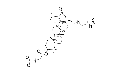 CC(C)C1=C2[C@H]3CCC4[C@@]5(C)CC[C@H](OC(=O)CC(C)(C)C(=O)O)C(C)(C)C5CC[C@@]4(C)[C@]3(C)CC[C@@]2(CCNCc2cscn2)CC1=O